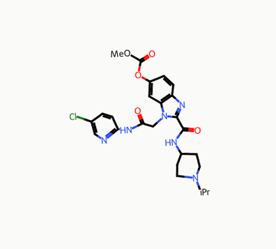 COC(=O)Oc1ccc2nc(C(=O)NC3CCN(C(C)C)CC3)n(CC(=O)Nc3ccc(Cl)cn3)c2c1